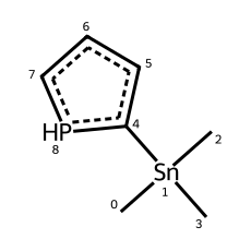 [CH3][Sn]([CH3])([CH3])[c]1ccc[pH]1